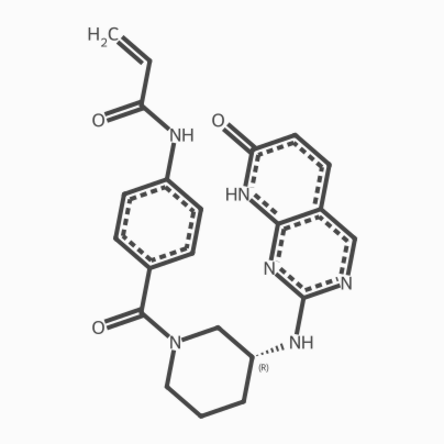 C=CC(=O)Nc1ccc(C(=O)N2CCC[C@@H](Nc3ncc4ccc(=O)[nH]c4n3)C2)cc1